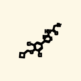 O=C(CBr)Nc1nc(-c2cc(Cl)c(OCC3CCC3)c(Cl)c2)cs1